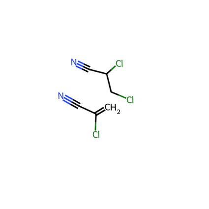 C=C(Cl)C#N.N#CC(Cl)CCl